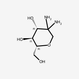 NC1(N)CO[C@H](CO)[C@@H](O)[C@@H]1O